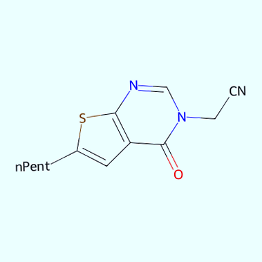 CCCCCc1cc2c(=O)n(CC#N)cnc2s1